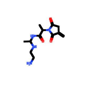 C=C1CC(=O)N(C(C)C(=O)NC(C)NCCN)C1=O